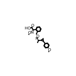 CON=C(C(=O)O)c1ccccc1CON=C(C)C1CC1c1ccc(OC)cc1